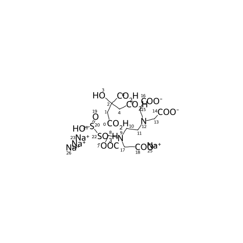 O=C(O)CC(O)(CC(=O)O)C(=O)O.O=C([O-])CN(CCN(CC(=O)[O-])CC(=O)[O-])CC(=O)[O-].O=S(O)S(=O)(=O)O.[Na+].[Na+].[Na+].[Na+]